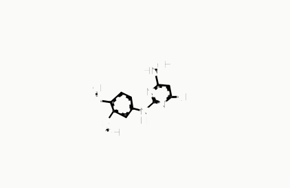 CNc1cc(C)nc(Nc2ccc(OC)c(OO)c2)n1